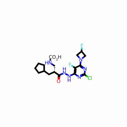 O=C(O)NC[C@@H](CC1CCCC1)C(=O)NNc1nc(Cl)nc(N2CC(F)C2)c1F